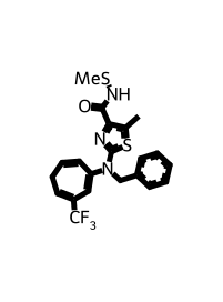 CSNC(=O)c1nc(N(Cc2ccccc2)C2=CC(C(F)(F)F)=CCC=C2)sc1C